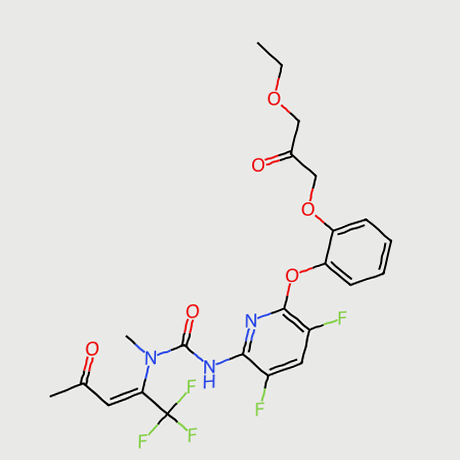 CCOCC(=O)COc1ccccc1Oc1nc(NC(=O)N(C)/C(=C\C(C)=O)C(F)(F)F)c(F)cc1F